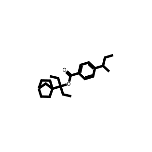 CCC(C)c1ccc(C(=O)OC(CC)(CC)C23CCC(CC2)C3)cc1